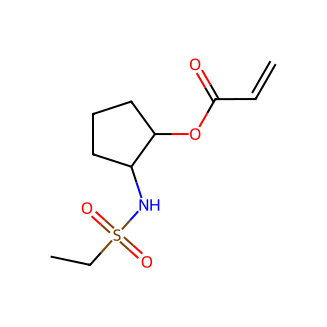 C=CC(=O)OC1CCCC1NS(=O)(=O)CC